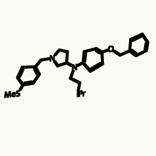 CSc1ccc(CN2CCC(N(CCC(C)C)c3ccc(OCc4ccccc4)cc3)C2)cc1